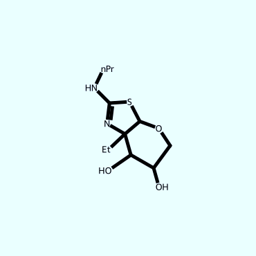 CCCNC1=NC2(CC)C(OCC(O)C2O)S1